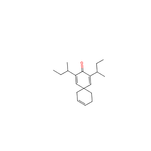 CCC(C)C1=CC2(C=C(C(C)CC)C1=O)CC=CCC2